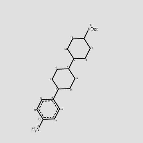 CCCCCCCCC1CCC(C2CCC(c3ccc(N)cc3)CC2)CC1